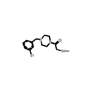 CCc1cccc(CN2CCN(C(=O)CSC)CC2)c1